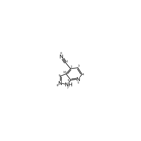 N#Cc1ccnc2[nH]ncc12